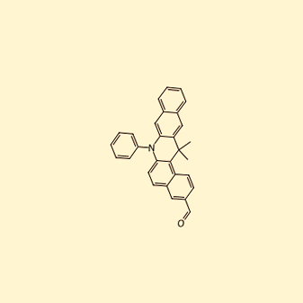 CC1(C)c2cc3ccccc3cc2N(c2ccccc2)c2ccc3cc(C=O)ccc3c21